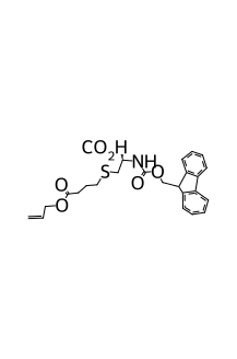 C=CCOC(=O)CCCSC[C@H](NC(=O)OCC1c2ccccc2-c2ccccc21)C(=O)O